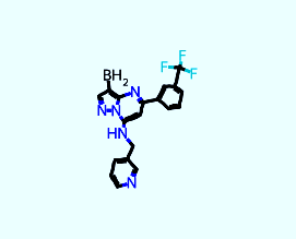 Bc1cnn2c(NCc3cccnc3)cc(-c3cccc(C(F)(F)F)c3)nc12